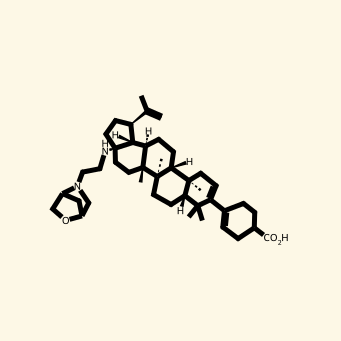 C=C(C)[C@@H]1CC[C@]2(NCCN3CC4CC3CO4)CC[C@]3(C)[C@H](CC[C@@H]4[C@@]5(C)CC=C(C6=CCC(C(=O)O)CC6)C(C)(C)[C@@H]5CC[C@]43C)[C@@H]12